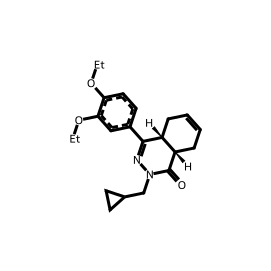 CCOc1ccc(C2=NN(CC3CC3)C(=O)[C@H]3CC=CC[C@@H]23)cc1OCC